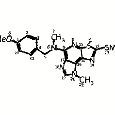 COc1ccc(CN(C)c2nc3sc(SC)nc3c3c2ncn3C)cc1